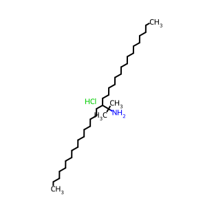 CCCCCCCCCCCCCCCCC(CCCCCCCCCCCCCCCC)C(C)(C)N.Cl